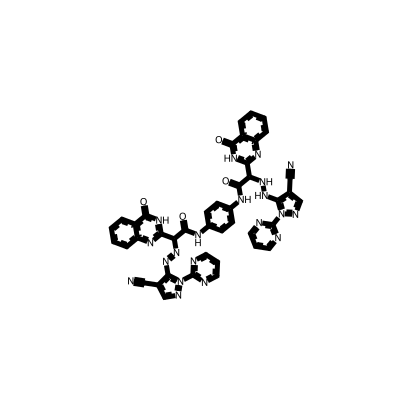 N#Cc1cnn(-c2ncccn2)c1N=NC(C(=O)Nc1ccc(NC(=O)C(NNc2c(C#N)cnn2-c2ncccn2)c2nc3ccccc3c(=O)[nH]2)cc1)c1nc2ccccc2c(=O)[nH]1